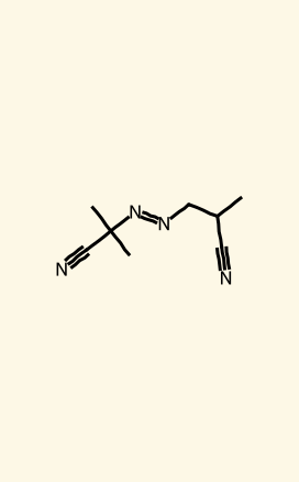 CC(C#N)CN=NC(C)(C)C#N